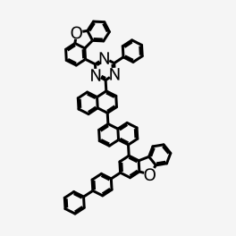 c1ccc(-c2ccc(-c3cc(-c4cccc5c(-c6ccc(-c7nc(-c8ccccc8)nc(-c8cccc9oc%10ccccc%10c89)n7)c7ccccc67)cccc45)c4c(c3)oc3ccccc34)cc2)cc1